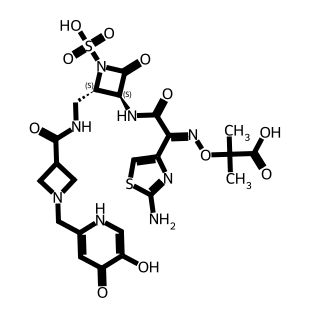 CC(C)(ON=C(C(=O)N[C@@H]1C(=O)N(S(=O)(=O)O)[C@H]1CNC(=O)C1CN(Cc2cc(=O)c(O)c[nH]2)C1)c1csc(N)n1)C(=O)O